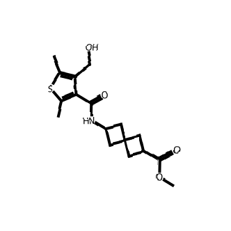 COC(=O)C1CC2(CC(NC(=O)c3c(C)sc(C)c3CO)C2)C1